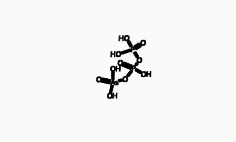 O=P(O)(O)OP(=O)(O)O[As](=O)(O)O